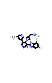 Cc1cncc(-c2cncc(-c3nc4c(F)cc(F)cc4[nH]3)c2N2CC(CN)C2)c1